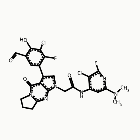 CN(C)c1cc(NC(=O)Cn2cc(-c3cc(C=O)c(O)c(Cl)c3F)c3c(=O)n4c(nc32)CCC4)c(Cl)c(F)n1